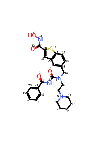 O=C(NC(=O)N(CCN1CCCCC1)Cc1ccc2sc(C(=O)NO)cc2c1)c1ccccc1